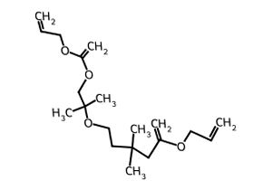 C=CCOC(=C)CC(C)(C)CCOC(C)(C)COC(=C)OCC=C